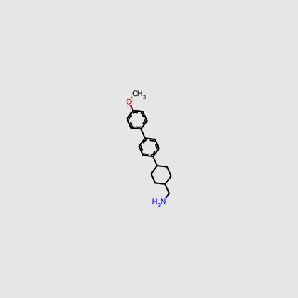 COc1ccc(-c2ccc(C3CCC(CN)CC3)cc2)cc1